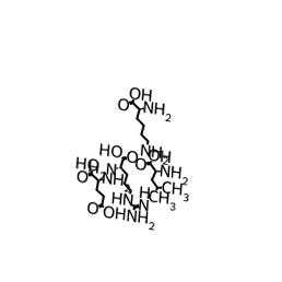 CC(C)C[C@H](N)C(=O)O.N=C(N)NCCC[C@H](N)C(=O)O.NCCCC[C@H](N)C(=O)O.N[C@@H](CCC(=O)O)C(=O)O